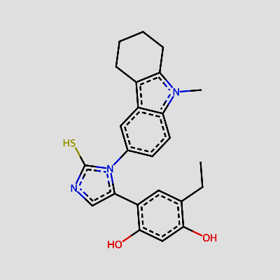 CCc1cc(-c2cnc(S)n2-c2ccc3c(c2)c2c(n3C)CCCC2)c(O)cc1O